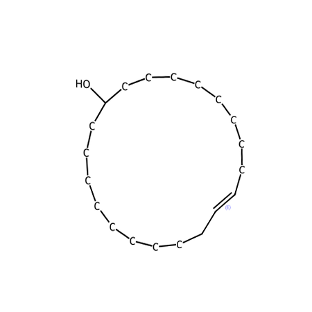 OC1CCCCCCCC/C=C/CCCCCCCCC1